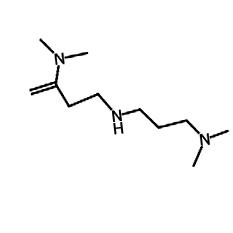 C=C(CCNCCCN(C)C)N(C)C